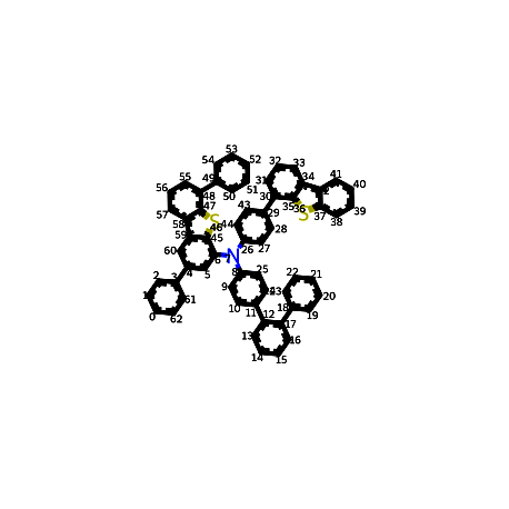 c1ccc(-c2cc(N(c3ccc(-c4ccccc4-c4ccccc4)cc3)c3ccc(-c4cccc5c4sc4ccccc45)cc3)c3sc4c(-c5ccccc5)cccc4c3c2)cc1